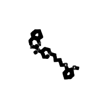 COc1ccccc1OCCCCN1CCC(N(C)C2=Nc3ccccc3CS2)CC1